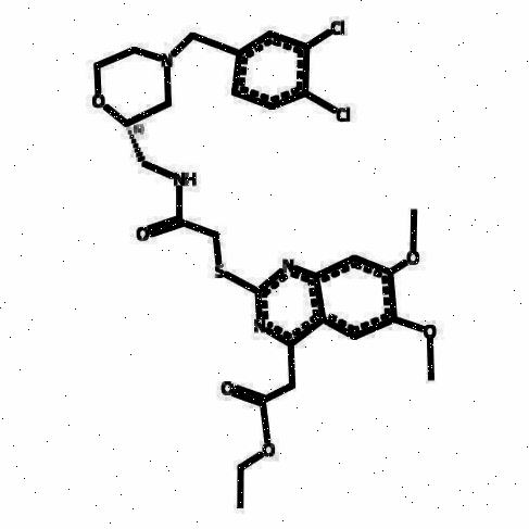 CCOC(=O)Cc1nc(SCC(=O)NC[C@H]2CN(Cc3ccc(Cl)c(Cl)c3)CCO2)nc2cc(OC)c(OC)cc12